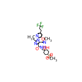 CCc1nc(C(=O)NCC2(O)CCC(S(C)(=O)=O)CC2)c(C#N)n1-c1ncc(CCC(F)(F)F)cc1OC